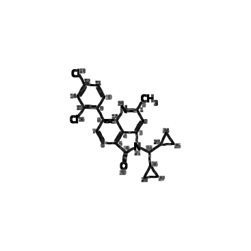 Cc1cc2c3c(ccc(-c4ccc(Cl)cc4Cl)c3n1)C(=O)N2C(C1CC1)C1CC1